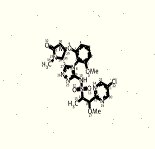 COc1cccc(OC)c1-n1c(NS(=O)(=O)C(C)C(OC)c2ncc(Cl)cn2)nnc1[C@H]1CCC(=O)N1C